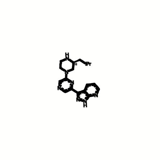 CC(C)C[C@H]1CN(c2cncc(-c3n[nH]c4ncccc34)n2)CCN1